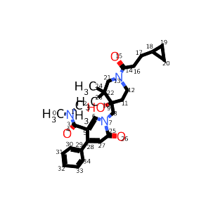 CN(C)C(=O)c1cn(CC2(O)CCN(C(=O)CCC3CC3)CC2(C)C)c(=O)cc1-c1ccccc1